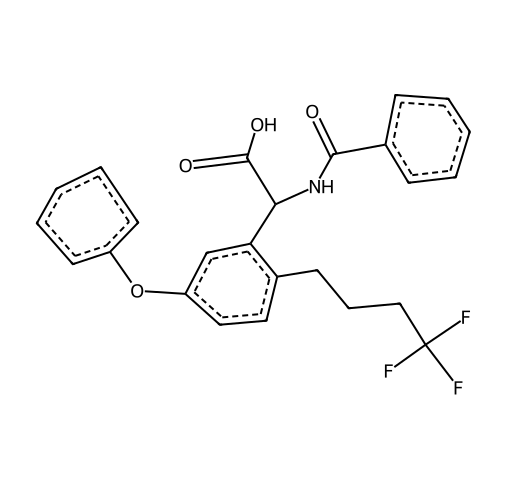 O=C(NC(C(=O)O)c1cc(Oc2ccccc2)ccc1CCCC(F)(F)F)c1ccccc1